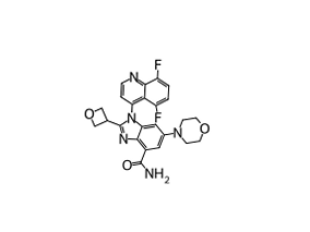 NC(=O)c1cc(N2CCOCC2)cc2c1nc(C1COC1)n2-c1ccnc2c(F)ccc(F)c12